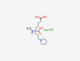 CNC(CCCCB(O)O)(CCCN1CCCCC1)C(=O)O.Cl.Cl